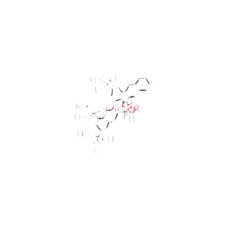 CC(C)(C)c1ccc(P(O)(O)(O)c2ccc3ccccc3c2)c(-c2cc3c(C(C)(C)C)cc(C(C)(C)C)cc3cc2C(C)(C)C)c1